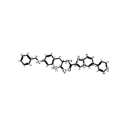 O=C(NC(Cc1ccc(OCc2ccccc2)cc1)C(=O)O)c1cn2cc(-c3ccncc3)ccc2n1